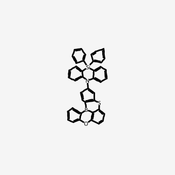 c1ccc([Si]2(c3ccccc3)c3ccccc3N(c3ccc4c(c3)Sc3cccc5c3B4c3ccccc3O5)c3ccccc32)cc1